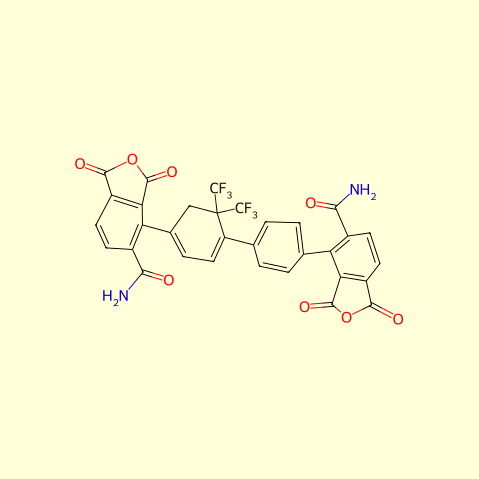 NC(=O)c1ccc2c(c1C1=CC=C(c3ccc(-c4c(C(N)=O)ccc5c4C(=O)OC5=O)cc3)C(C(F)(F)F)(C(F)(F)F)C1)C(=O)OC2=O